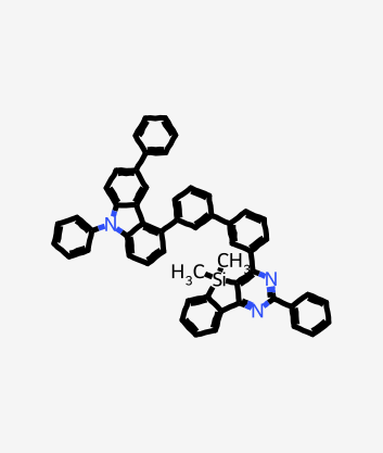 C[Si]1(C)c2ccccc2-c2nc(-c3ccccc3)nc(-c3cccc(-c4cccc(-c5cccc6c5c5cc(-c7ccccc7)ccc5n6-c5ccccc5)c4)c3)c21